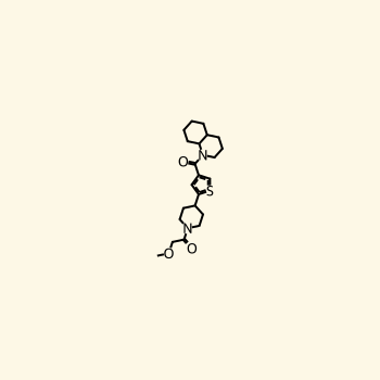 COCC(=O)N1CCC(c2cc(C(=O)N3CCCC4CCCCC43)cs2)CC1